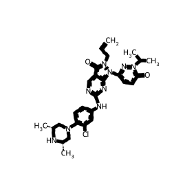 C=CCn1c(=O)c2cnc(Nc3ccc(N4C[C@@H](C)N[C@@H](C)C4)c(Cl)c3)nc2n1-c1ccc(=O)n(C(C)C)n1